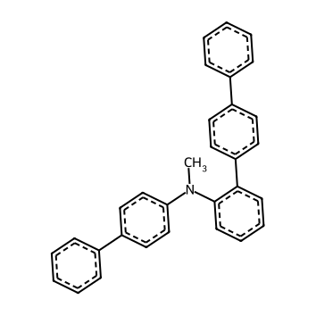 CN(c1ccc(-c2ccccc2)cc1)c1ccccc1-c1ccc(-c2ccccc2)cc1